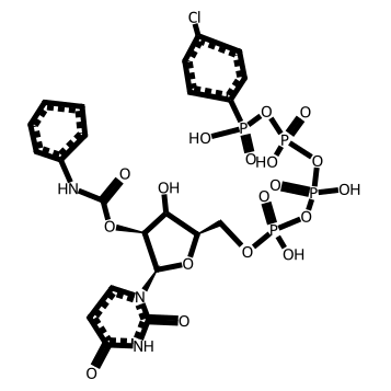 O=C(Nc1ccccc1)O[C@H]1C(O)[C@@H](COP(=O)(O)OP(=O)(O)OP(=O)(O)OP(=O)(O)c2ccc(Cl)cc2)O[C@H]1n1ccc(=O)[nH]c1=O